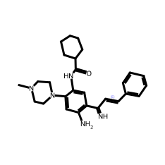 CN1CCN(c2cc(N)c(C(=N)/C=C/c3ccccc3)cc2NC(=O)C2CCCCC2)CC1